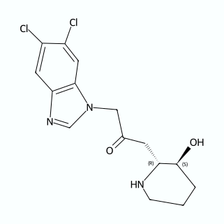 O=C(C[C@H]1NCCC[C@@H]1O)Cn1cnc2cc(Cl)c(Cl)cc21